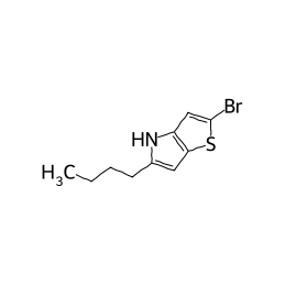 CCCCc1cc2sc(Br)cc2[nH]1